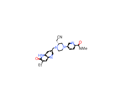 CCc1cc2ncc(CN3CCN(c4ccc(C(=O)NC)nc4)C[C@H]3CC#N)cc2[nH]c1=O